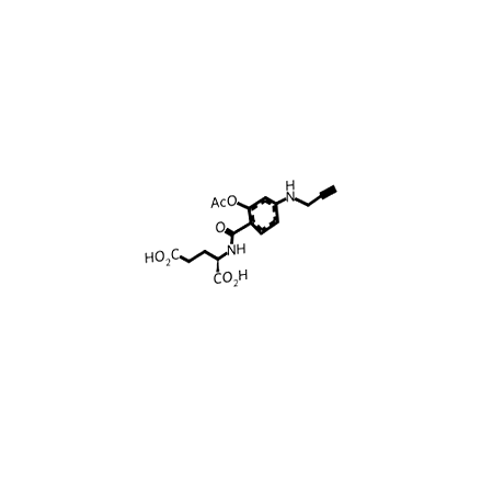 C#CCNc1ccc(C(=O)N[C@H](CCC(=O)O)C(=O)O)c(OC(C)=O)c1